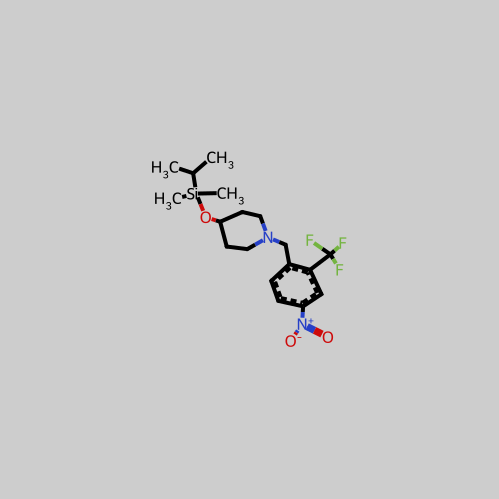 CC(C)[Si](C)(C)OC1CCN(Cc2ccc([N+](=O)[O-])cc2C(F)(F)F)CC1